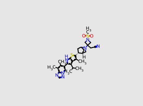 Cc1c(-c2[nH]c3sc([C@@H]4CC5C[C@H]4CN5C4(CC#N)CN(S(C)(=O)=O)C4)c(C)c3c2C(C)C)cn2ncnc2c1C